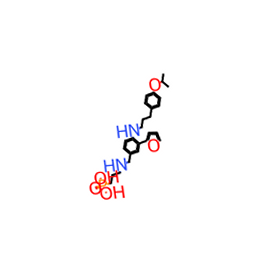 CC(C)Oc1ccc(CCCNc2ccc(CNCCCP(=O)(O)O)cc2-c2ccco2)cc1